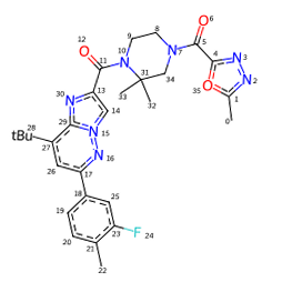 Cc1nnc(C(=O)N2CCN(C(=O)c3cn4nc(-c5ccc(C)c(F)c5)cc(C(C)(C)C)c4n3)C(C)(C)C2)o1